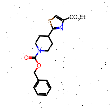 CCOC(=O)c1csc(C2CCN(C(=O)OCc3ccccc3)CC2)n1